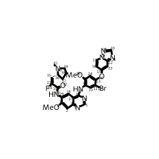 COc1cc2ncnc(Nc3cc(Br)c(Oc4ccn5ncnc5c4)cc3OC)c2cc1NC(=O)/C(F)=C\[C@H]1CCCN1C